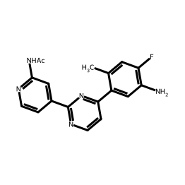 CC(=O)Nc1cc(-c2nccc(-c3cc(N)c(F)cc3C)n2)ccn1